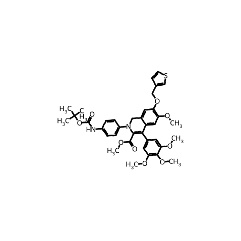 COC(=O)C1=C(c2cc(OC)c(OC)c(OC)c2)c2cc(OC)c(OCc3ccsc3)cc2CN1c1ccc(NC(=O)OC(C)(C)C)cc1